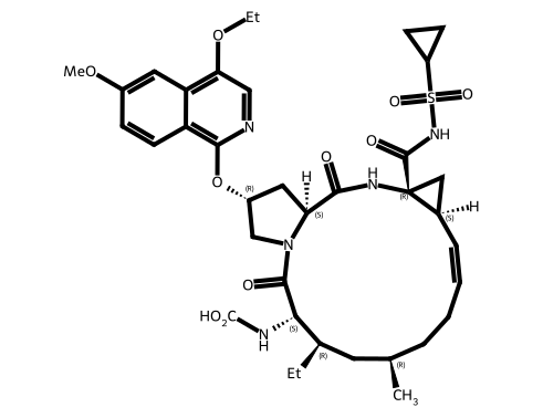 CCOc1cnc(O[C@@H]2C[C@H]3C(=O)N[C@]4(C(=O)NS(=O)(=O)C5CC5)C[C@H]4C=CCC[C@@H](C)C[C@@H](CC)[C@H](NC(=O)O)C(=O)N3C2)c2ccc(OC)cc12